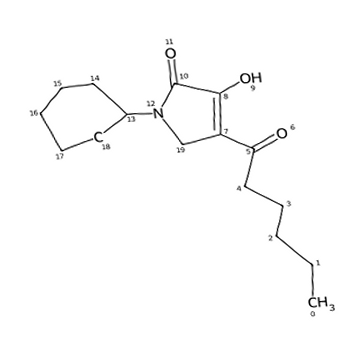 CCCCCC(=O)C1=C(O)C(=O)N(C2CCCCC2)C1